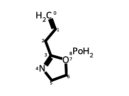 C=CCC1=NCCO1.[PoH2]